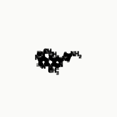 CCc1cc(N2CC(N)C2)ncc1N(C)c1cc2c(cn1)ncn2C